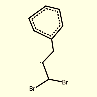 BrC(Br)[CH]Cc1ccccc1